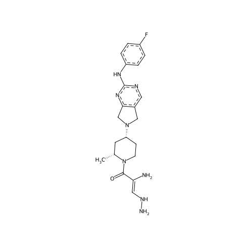 C[C@@H]1C[C@H](N2Cc3cnc(Nc4ccc(F)cc4)nc3C2)CCN1C(=O)/C(N)=C/NN